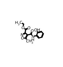 CCOC(=O)c1noc(C)c1C(=O)Nc1ccccc1O